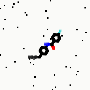 O=C(O)Cc1ccc(NC(=O)c2ccc(F)cc2)cc1